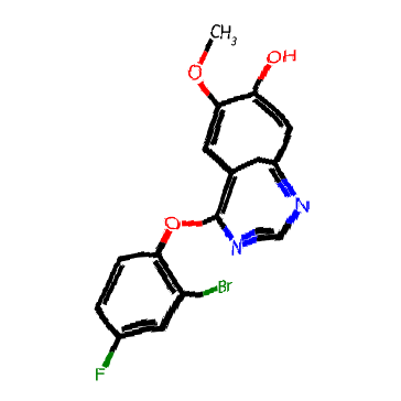 COc1cc2c(Oc3ccc(F)cc3Br)ncnc2cc1O